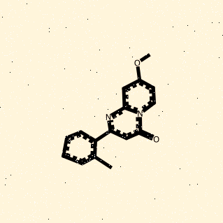 COc1ccn2c(=O)cc(-c3ccccc3C)nc2c1